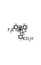 O=C(O)c1ccccc1CCCc1ccccc1NS(=O)(=O)c1cccc(C(F)(F)F)c1